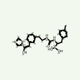 Cc1ccc(CC(NC(=O)NCCc2cccc(C=C(C#N)n3cncn3)c2)B(O)O)cc1